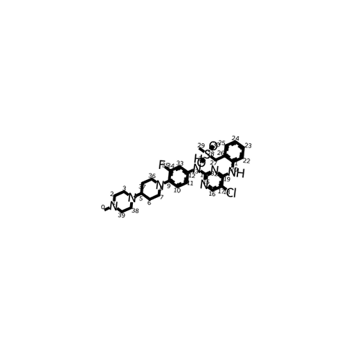 CN1CCN(C2CCN(c3ccc(Nc4ncc(Cl)c(Nc5ccccc5CS(C)(=O)=O)n4)cc3F)CC2)CC1